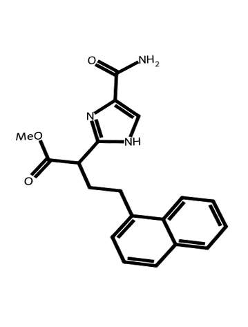 COC(=O)C(CCc1cccc2ccccc12)c1nc(C(N)=O)c[nH]1